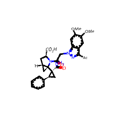 COc1cc2c(C(C)=O)nn(CC(=O)N3[C@H](C(=O)O)C[C@H]4C[C@@]43[C@@]3(C(N)=O)C[C@H]3c3ccccc3)c2cc1OC